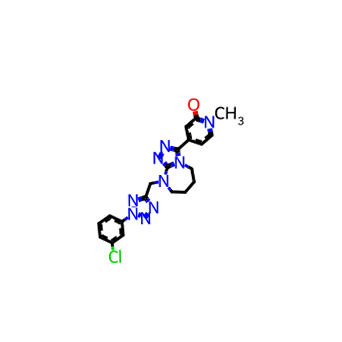 Cn1ccc(-c2nnc3n2CCCCN3Cc2nnn(-c3cccc(Cl)c3)n2)cc1=O